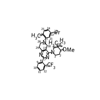 COC1CCN(c2nc(-c3ccccc3C(F)(F)F)nc3c2CN(c2cc(C(C)C)ccc2C)CC3)CC1(C)C